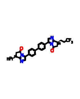 CCC[C@@H]1CC(=O)n2c(-c3ccc(-c4ccc(-c5cnc6n5C(=O)C[C@H]6CCC(F)(F)F)cc4)cc3)cnc21